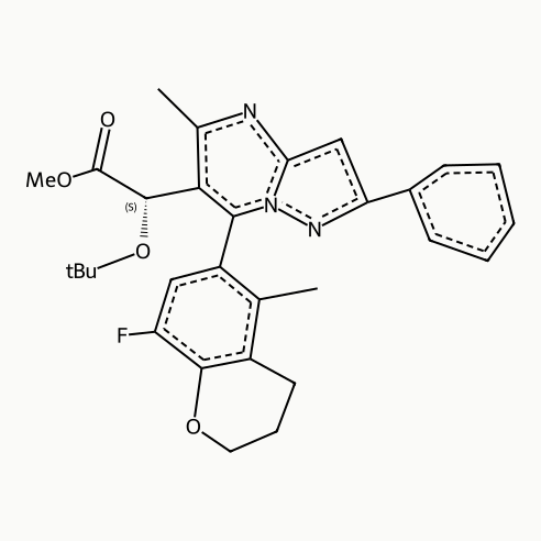 COC(=O)[C@@H](OC(C)(C)C)c1c(C)nc2cc(-c3ccccc3)nn2c1-c1cc(F)c2c(c1C)CCCO2